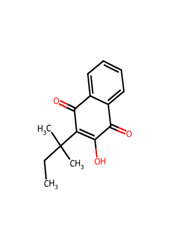 CCC(C)(C)C1=C(O)C(=O)c2ccccc2C1=O